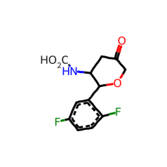 O=C1COC(c2cc(F)ccc2F)C(NC(=O)O)C1